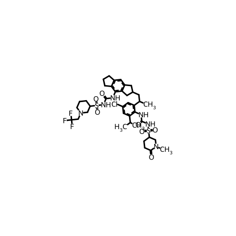 CC(C)c1cc(Cl)cc(C(C)CC2Cc3cc4c(c(NC(=O)NS(=O)(=O)C5CCCN(CC(F)(F)F)C5)c3C2)CCC4)c1NC(=O)NS(=O)(=O)C1CCC(=O)N(C)C1